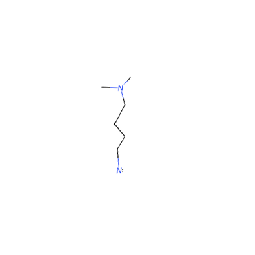 CN(C)CCCC[N]